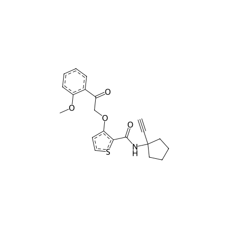 C#CC1(NC(=O)c2sccc2OCC(=O)c2ccccc2OC)CCCC1